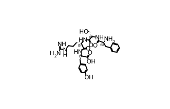 N=C(N)NCCC[C@H](NC(=O)[C@H](CO)NC(=O)[C@@H](N)Cc1ccccc1)C(=O)N[C@@H](Cc1ccc(O)cc1)C(=O)O